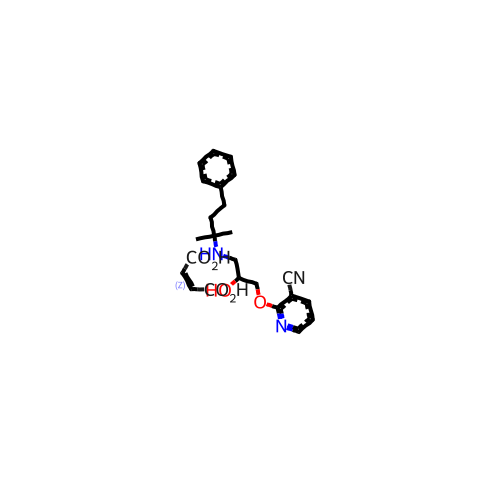 CC(C)(CCc1ccccc1)NCC(O)COc1ncccc1C#N.O=C(O)/C=C\C(=O)O